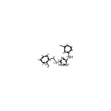 Cc1cccc(Nc2n[nH]c(SCc3ccccc3C)n2)c1